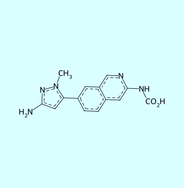 Cn1nc(N)cc1-c1ccc2cc(NC(=O)O)ncc2c1